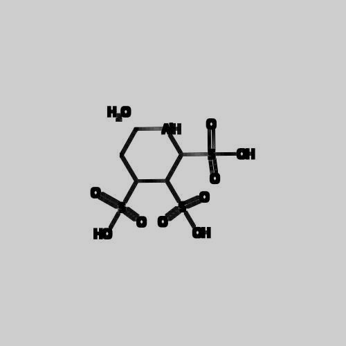 O.O=S(=O)(O)C1C[CH2][AlH][CH](S(=O)(=O)O)C1S(=O)(=O)O